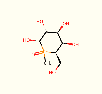 CP1(=O)[C@H](O)[C@H](O)[C@@H](O)[C@H](O)[C@H]1CO